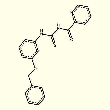 O=C(NC(=S)Nc1cccc(OCc2ccccc2)c1)c1ccccn1